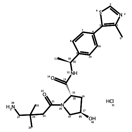 Cc1ncsc1-c1ccc([C@H](C)NC(=O)[C@@H]2C[C@@H](O)CN2C(=O)CC(C)(C)CN)cc1.Cl